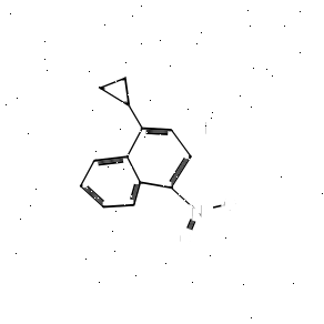 O=[N+]([O-])c1ccc(C2CC2)c2ccccc12.[H+]